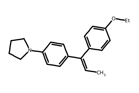 C/C=C(\c1ccc(OCC)cc1)c1ccc(N2CCCC2)cc1